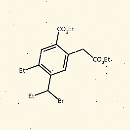 CCOC(=O)Cc1cc(C(Br)CC)c(CC)cc1C(=O)OCC